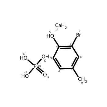 Cc1ccc(O)c(Br)c1.O=P(O)(O)O.[CaH2]